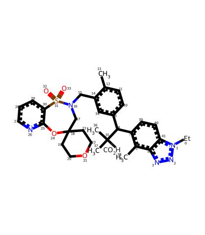 CCn1nnc2c(C)c(C(c3ccc(C)c(CN4CC5(CCOCC5)Oc5ncccc5S4(=O)=O)c3)C(C)(C)C(=O)O)ccc21